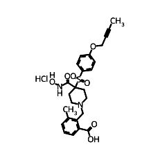 CC#CCOc1ccc(S(=O)(=O)C2(C(=O)NO)CCN(Cc3c(C)cccc3C(=O)O)CC2)cc1.Cl